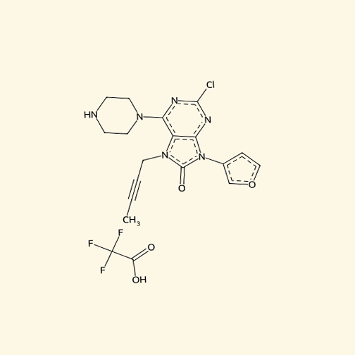 CC#CCn1c(=O)n(-c2ccoc2)c2nc(Cl)nc(N3CCNCC3)c21.O=C(O)C(F)(F)F